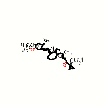 C=C1CC[C@H](O[Si](C)(C)C(C)(C)C)C/C1=C/C=C1\CCC[C@]2(C)[C@@H]([C@H](C)/C=C/C(=O)C3(C(=O)O)CC3)CC[C@@H]12